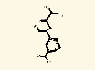 CC(C)C(=O)C[C@H](CN)c1cccc(C(C)C)c1